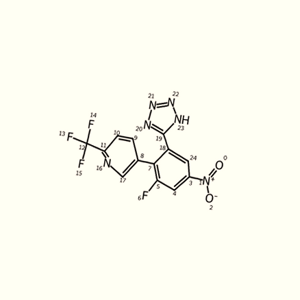 O=[N+]([O-])c1cc(F)c(-c2ccc(C(F)(F)F)nc2)c(-c2nnn[nH]2)c1